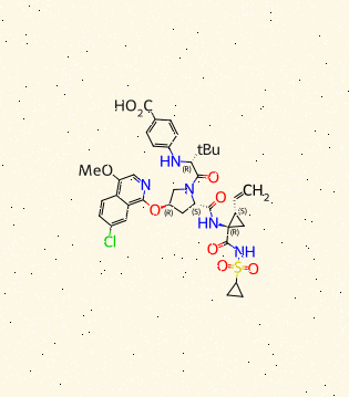 C=C[C@@H]1C[C@]1(NC(=O)[C@@H]1C[C@@H](Oc2ncc(OC)c3ccc(Cl)cc23)CN1C(=O)[C@H](Nc1ccc(C(=O)O)cc1)C(C)(C)C)C(=O)NS(=O)(=O)C1CC1